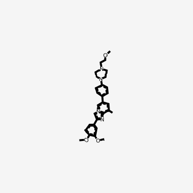 COCCN1CCN(c2ccc(-c3cc(C)c4nc(-c5ccc(OC)c(OC)c5)cn4c3)cc2)CC1